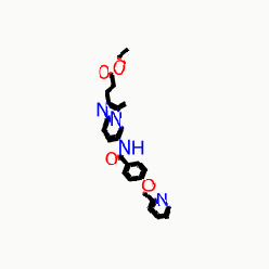 CCOC(=O)CCc1nc2ccc(NC(=O)c3ccc(OCc4ccccn4)cc3)cn2c1C